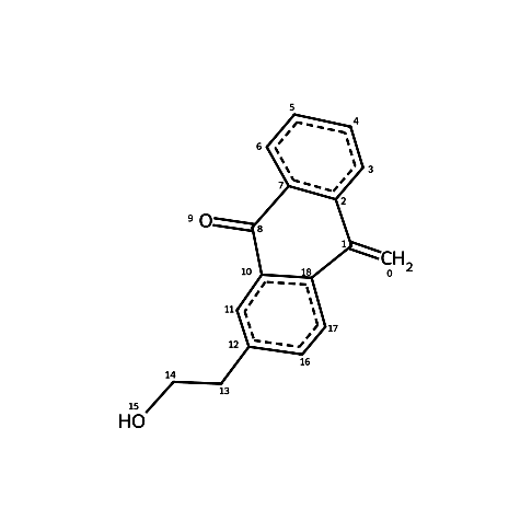 C=C1c2ccccc2C(=O)c2cc(CCO)ccc21